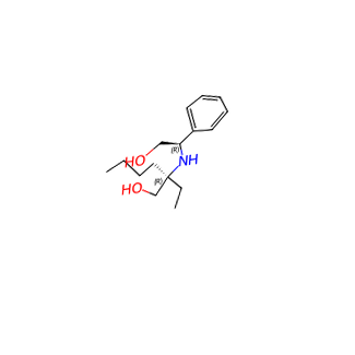 CCCC[C@](CC)(CO)N[C@@H](CO)c1ccccc1